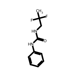 CC(F)(F)CNC(=O)Nc1ccccc1